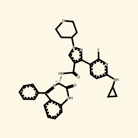 O=C(N[C@H]1N=C(c2ccccc2)c2ccccc2NC1=O)c1cn(C2CCOCC2)nc1-c1ccc(NC2CC2)nc1F